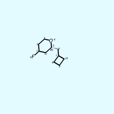 FC1CCO[C@H](CC2CCC2)C1